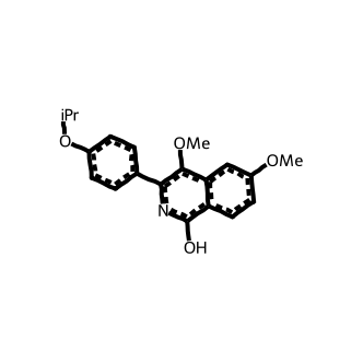 COc1ccc2c(O)nc(-c3ccc(OC(C)C)cc3)c(OC)c2c1